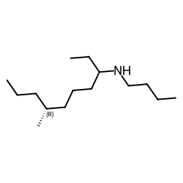 CCCCNC(CC)CCC[C@H](C)CCC